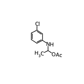 CC(=O)OC(C)Nc1cccc(Cl)c1